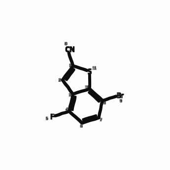 N#Cc1cc2c(F)ccc(Br)c2s1